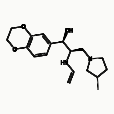 C=CN[C@H](CN1CCC(C)C1)[C@H](O)c1ccc2c(c1)OCCO2